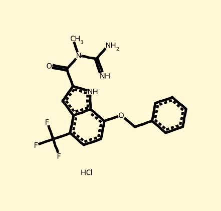 CN(C(=N)N)C(=O)c1cc2c(C(F)(F)F)ccc(OCc3ccccc3)c2[nH]1.Cl